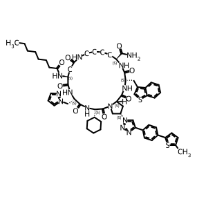 CCCCCCCC(=O)N[C@H]1CC(=O)NCCCC[C@@H](C(N)=O)NC(=O)[C@H](Cc2csc3ccccc23)NC(=O)[C@@H]2C[C@H](n3cc(-c4ccc(-c5ccc(C)s5)cc4)nn3)CN2C(=O)[C@H](C2CCCCC2)NC(=O)[C@H](Cn2cccn2)NC1=O